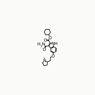 CN1CCCC1CCOc1ccc2[nH]c(C(=O)OC3CCCCC3)c(C(N)=O)c2c1